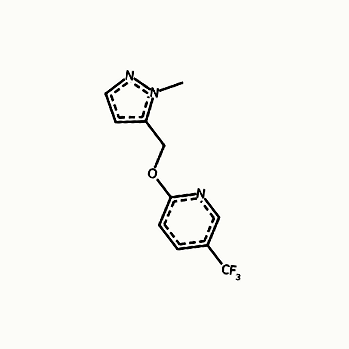 Cn1nccc1COc1ccc(C(F)(F)F)cn1